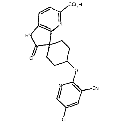 N#Cc1cc(Cl)cnc1OC1CCC2(CC1)C(=O)Nc1ccc(C(=O)O)nc12